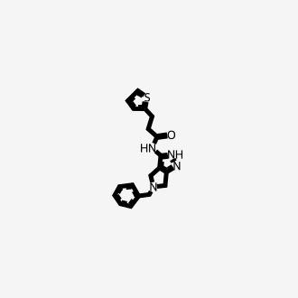 O=C(CCc1cccs1)Nc1[nH]nc2c1CN(Cc1ccccc1)C2